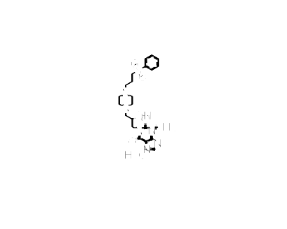 Cn1cnc2c1c(=O)n(CC(O)CN1CCN(CCCS(=O)(=O)c3ccccc3)CC1)c(=O)n2C